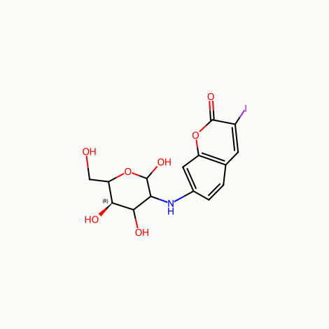 O=c1oc2cc(NC3C(O)OC(CO)[C@H](O)C3O)ccc2cc1I